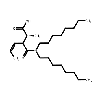 C/C=C\C(C(=O)N(CCCCCCCC)CCCCCCCC)[C@H](C)C(=O)O